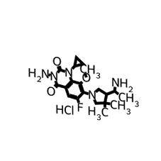 COc1c(N2CC(C(C)N)C(C)(C)C2)c(F)cc2c(=O)n(N)c(=O)n(C3CC3)c12.Cl